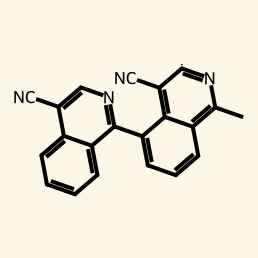 Cc1n[c]c(C#N)c2c(-c3ncc(C#N)c4ccccc34)cccc12